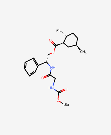 CC(C)[C@@H]1CC[C@@H](C)C[C@H]1C(=O)OC[C@H](NC(=O)CNC(=O)OC(C)(C)C)c1ccccc1